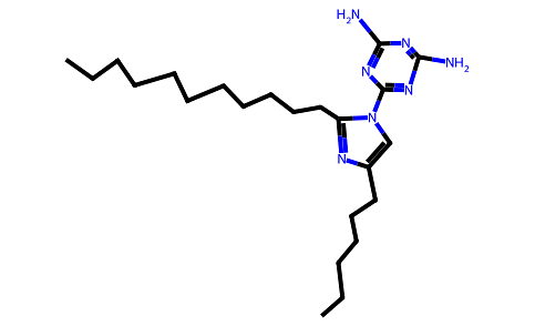 CCCCCCCCCCCc1nc(CCCCCC)cn1-c1nc(N)nc(N)n1